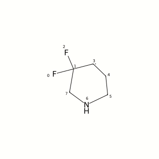 FC1(F)[CH]CCNC1